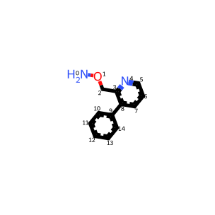 NOCc1ncccc1-c1ccccc1